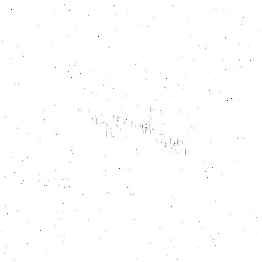 CCC[C@H](C[C@@H](C)NC(=O)c1ccnc(NS(C)(=O)=O)c1)N1Cc2cnc(Nc3ccc(C)nc3)nc2C1